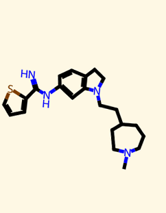 CN1CCCC(CCN2CCc3ccc(NC(=N)c4cccs4)cc32)CC1